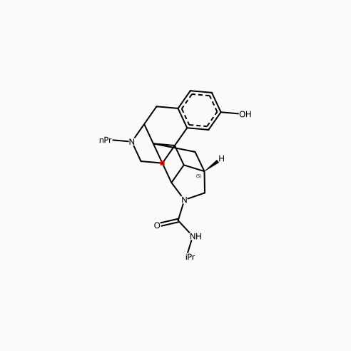 CCCN1CCC23c4cc(O)ccc4CC1C21CCC2C3[C@@H](CN2C(=O)NC(C)C)C1